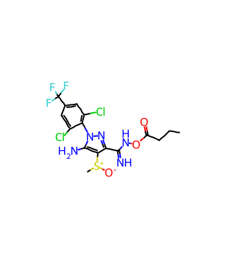 CCCC(=O)ONC(=N)c1nn(-c2c(Cl)cc(C(F)(F)F)cc2Cl)c(N)c1[S+](C)[O-]